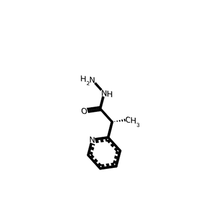 C[C@@H](C(=O)NN)c1ccccn1